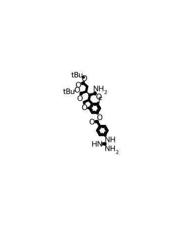 CC(C)(C)OC(=O)CC(C(=O)OC(C)(C)C)[C@@H](C(N)=O)C1COc2cc(OC(=O)c3ccc(NC(=N)N)cc3)cc(F)c21